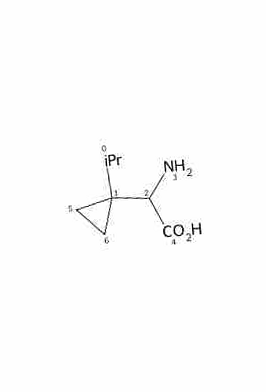 CC(C)C1(C(N)C(=O)O)CC1